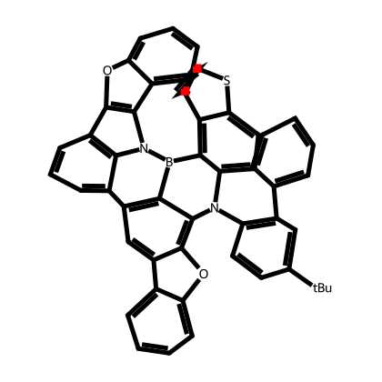 CC(C)(C)c1ccc(N2c3ccc4sc5ccccc5c4c3B3c4c(cc5c(oc6ccccc65)c42)-c2cccc4c5oc6ccccc6c5n3c24)c(-c2ccccc2)c1